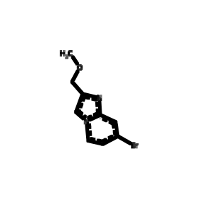 COCc1cn2ccc(Br)cc2n1